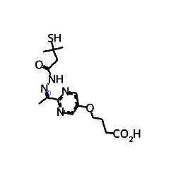 C/C(=N/NC(=O)CC(C)(C)S)c1ncc(OCCCC(=O)O)cn1